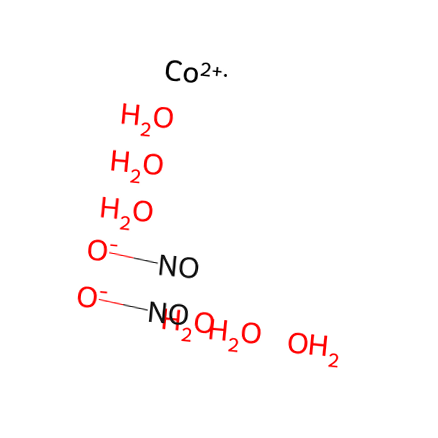 O.O.O.O.O.O.O=N[O-].O=N[O-].[Co+2]